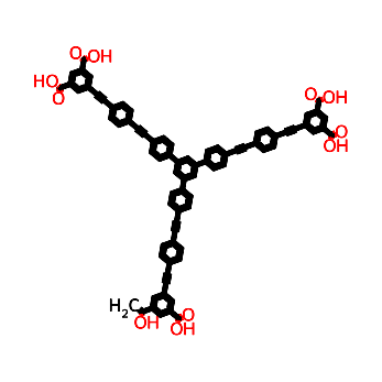 C=C(O)c1cc(C#Cc2ccc(C#Cc3ccc(-c4cc(-c5ccc(C#Cc6ccc(C#Cc7cc(C(=O)O)cc(C(=O)O)c7)cc6)cc5)cc(-c5ccc(C#Cc6ccc(C#Cc7cc(C(=O)O)cc(C(=O)O)c7)cc6)cc5)c4)cc3)cc2)cc(C(=O)O)c1